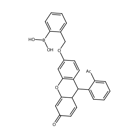 CC(=O)c1ccccc1C1c2ccc(OCc3ccccc3B(O)O)cc2OC2=CC(=O)C=CC21